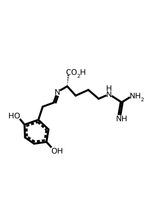 N=C(N)NCCC[C@H](N=CCc1cc(O)ccc1O)C(=O)O